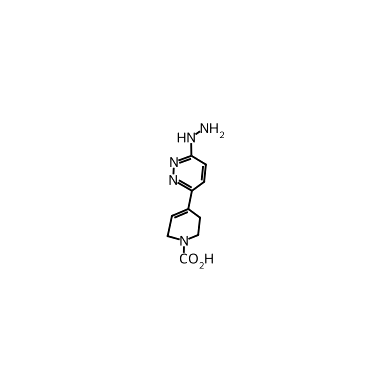 NNc1ccc(C2=CCN(C(=O)O)CC2)nn1